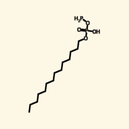 CCCCCCCCCCCCCCOP(=O)(O)OP